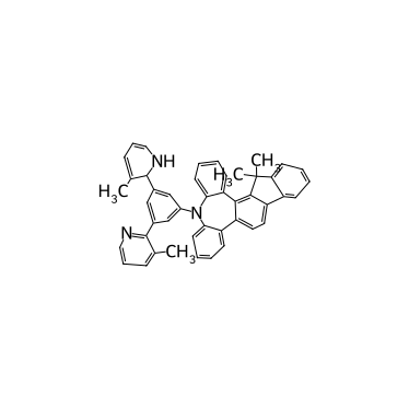 CC1=CC=CNC1c1cc(-c2ncccc2C)cc(N2c3ccccc3-c3ccc4c(c3-c3ccccc32)C(C)(C)c2ccccc2-4)c1